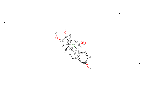 CO[C@@H]1C[C@H]2[C@@H]3CCC4=CC(=O)C=C[C@]4(C)[C@@]3(F)[C@@H](O)C[C@]2(C)C1=O